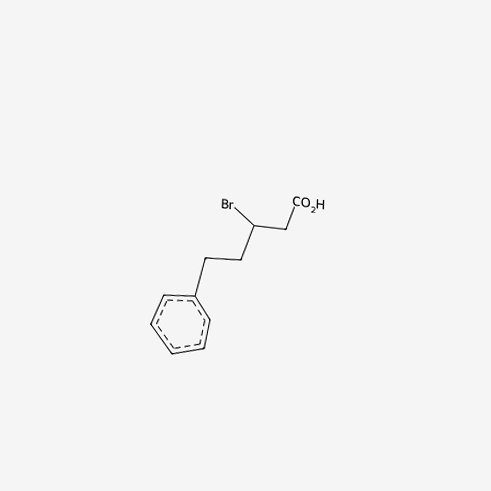 O=C(O)CC(Br)CCc1ccccc1